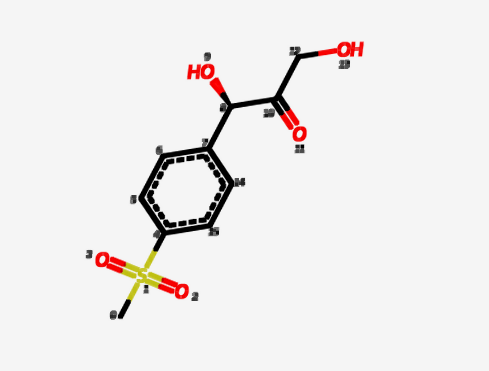 CS(=O)(=O)c1ccc([C@@H](O)C(=O)CO)cc1